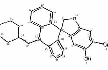 Oc1cc2c(cc1O)C1(CO2)c2ccccc2N(CC2CCCNC2)c2ccccc21